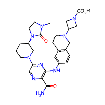 CN1CCN([C@@H]2CCCN(c3cnc(C(N)=O)c(Nc4ccc5c(c4)CCN(C4CN(C(=O)O)C4)C5)n3)C2)C1=O